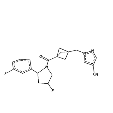 N#Cc1cnn(CC23CC(C(=O)N4CC(F)CC4c4cccc(F)c4)(C2)C3)c1